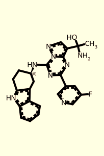 CC(N)(O)c1cnn2c(N[C@@H]3CCc4[nH]c5ccccc5c4C3)nc(-c3cncc(F)c3)nc12